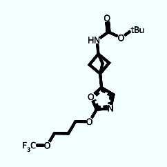 CC(C)(C)OC(=O)NC12CC(c3cnc(OCCCOC(F)(F)F)o3)(C1)C2